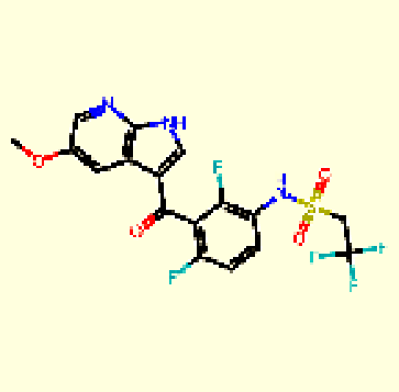 COc1cnc2[nH]cc(C(=O)c3c(F)ccc(NS(=O)(=O)CC(F)(F)F)c3F)c2c1